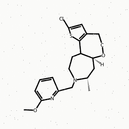 COc1cccc(CN2CCC3c4sc(Cl)cc4CCO[C@H]3C[C@@H]2C)n1